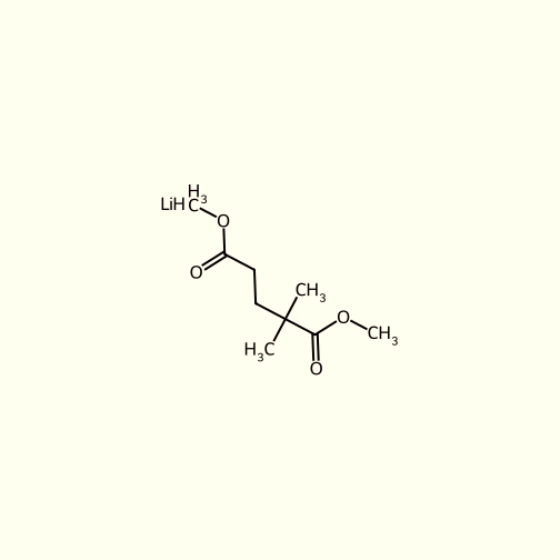 COC(=O)CCC(C)(C)C(=O)OC.[LiH]